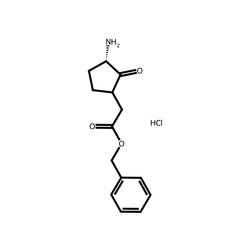 Cl.N[C@H]1CCC(CC(=O)OCc2ccccc2)C1=O